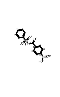 O=C(NS(=O)(=O)c1ccccc1)c1ccc([N+](=O)[O-])cc1